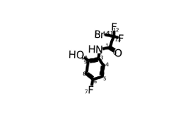 O=C(Nc1ccc(F)cc1O)C(F)(F)Br